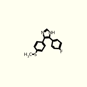 CSc1ccc(-c2nc[nH]c2-c2ccc(F)cc2)cc1